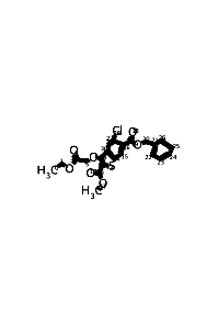 CCOC(=O)COc1c(C(=O)OC)sc2cc(C(=O)OCc3ccccc3)c(Cl)cc12